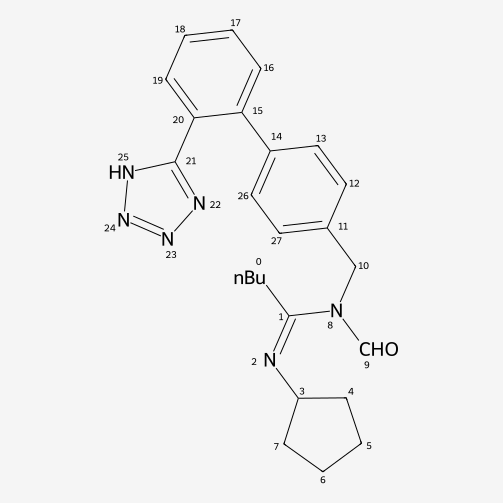 CCCC/C(=N/C1CCCC1)N(C=O)Cc1ccc(-c2ccccc2-c2nnn[nH]2)cc1